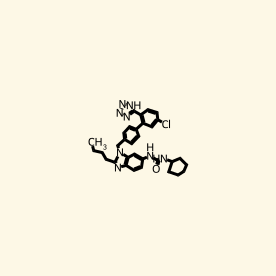 CCCCc1nc2ccc(NC(=O)NC3CCCCC3)cc2n1Cc1ccc(-c2cc(Cl)ccc2-c2nnn[nH]2)cc1